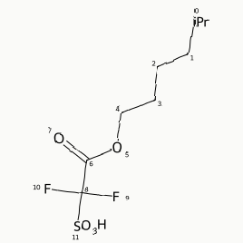 CC(C)CCCCOC(=O)C(F)(F)S(=O)(=O)O